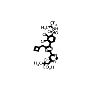 C[C@H](NS(=O)(=O)c1ccc(-c2sc(-c3cc(CC(C)(C)C(=O)O)ncn3)nc2CC2CCC2)c(Cl)c1Cl)C(F)(F)F